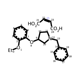 CCOc1ccccc1OC1CCN(Cc2ccccc2)C1.O=C(O)/C=C\C(=O)O